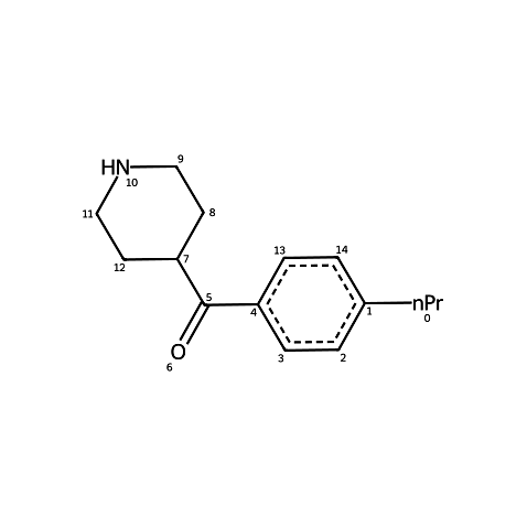 CCCc1ccc(C(=O)C2CCNCC2)cc1